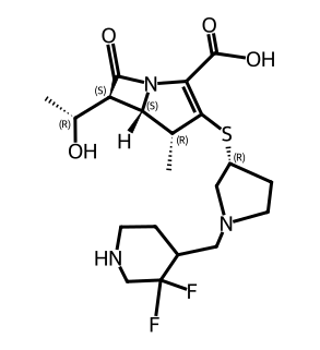 C[C@@H](O)[C@H]1C(=O)N2C(C(=O)O)=C(S[C@@H]3CCN(CC4CCNCC4(F)F)C3)[C@H](C)[C@H]12